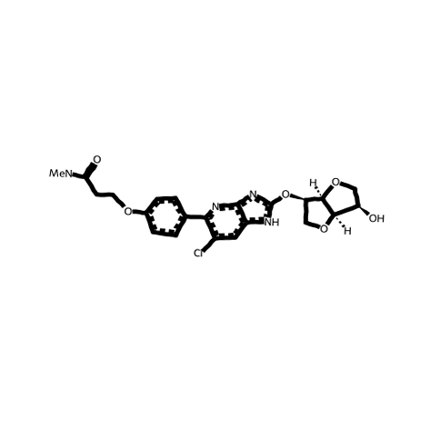 CNC(=O)CCOc1ccc(-c2nc3nc(O[C@@H]4CO[C@H]5[C@@H]4OC[C@H]5O)[nH]c3cc2Cl)cc1